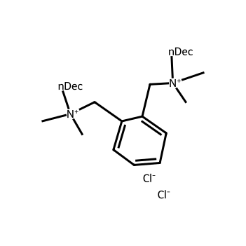 CCCCCCCCCC[N+](C)(C)Cc1ccccc1C[N+](C)(C)CCCCCCCCCC.[Cl-].[Cl-]